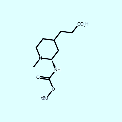 CN1CCC(CCC(=O)O)C[C@H]1NC(=O)OC(C)(C)C